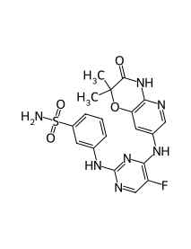 CC1(C)Oc2cc(Nc3nc(Nc4cccc(S(N)(=O)=O)c4)ncc3F)cnc2NC1=O